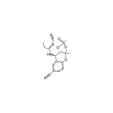 CCC(=NC#N)N[C@@H]1c2cc(C#N)ccc2OC(C)(C)[C@H]1OS(C)(=O)=O